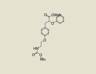 COC(=O)C(Cc1ccc(OCCNC(=O)OC(C)(C)C)cc1)Oc1cccnc1